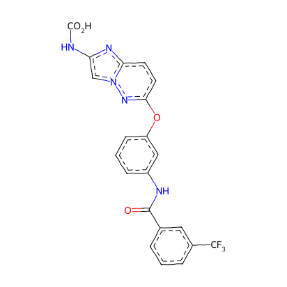 O=C(O)Nc1cn2nc(Oc3cccc(NC(=O)c4cccc(C(F)(F)F)c4)c3)ccc2n1